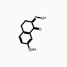 COc1ccc2c(c1)C(=O)/C(=N\O)CC2